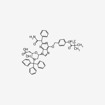 CC(C)(C)C(=O)Oc1ccc(COc2nc(C(C(N)=O)c3ccccc3)nc3c2ncn3[C@H]2CN(C(c3ccccc3)(c3ccccc3)c3ccccc3)C[C@@H](CP(=O)(O)O)O2)cc1